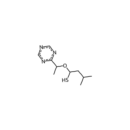 CC(C)CC(S)OC(C)c1ncncn1